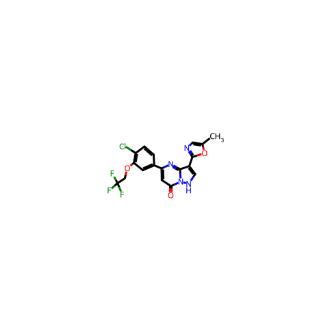 Cc1cnc(-c2c[nH]n3c(=O)cc(-c4ccc(Cl)c(OCC(F)(F)F)c4)nc23)o1